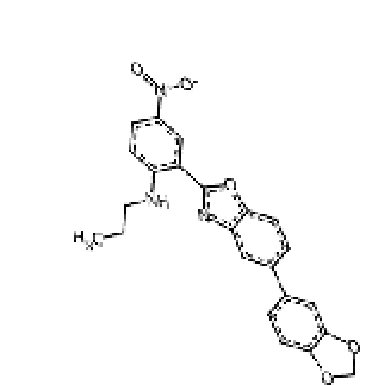 CCCNc1ccc([N+](=O)[O-])cc1-c1nc2cc(-c3ccc4c(c3)OCO4)ccc2o1